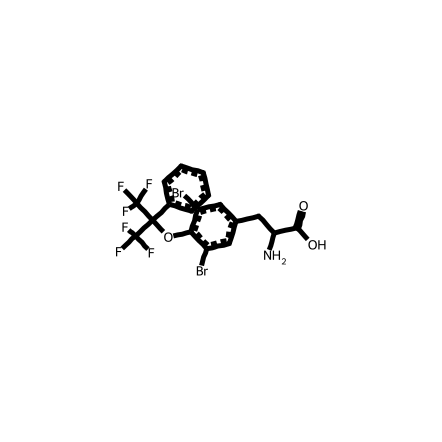 NC(Cc1cc(Br)c(OC(c2ccccc2)(C(F)(F)F)C(F)(F)F)c(Br)c1)C(=O)O